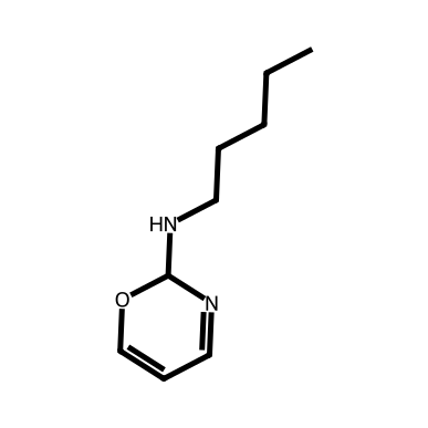 CCCCCNC1N=CC=CO1